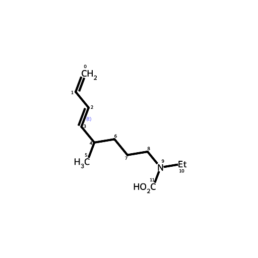 C=C/C=C/C(C)CCCN(CC)C(=O)O